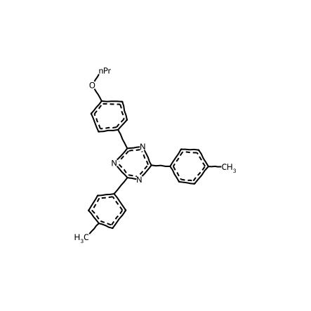 CCCOc1ccc(-c2nc(-c3ccc(C)cc3)nc(-c3ccc(C)cc3)n2)cc1